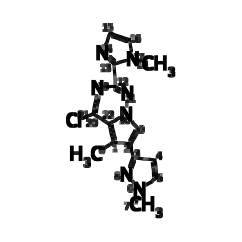 Cc1c(-c2ccn(C)n2)cn2nc(-c3nccn3C)nc(Cl)c12